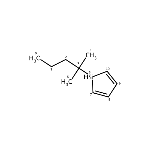 CCCC(C)(C)[SiH]1C=CC=C1